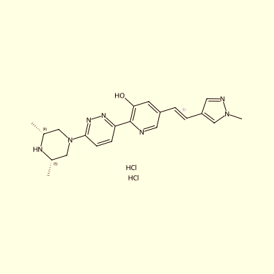 C[C@@H]1CN(c2ccc(-c3ncc(/C=C/c4cnn(C)c4)cc3O)nn2)C[C@H](C)N1.Cl.Cl